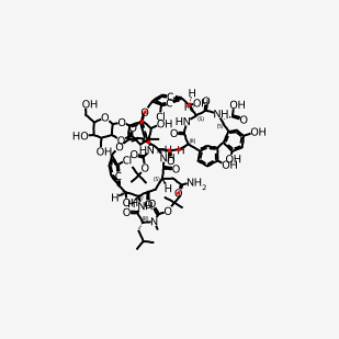 CC(C)C[C@H](C(=O)N[C@H]1C(=O)C[C@@H](CC(N)=O)C(=O)N[C@H]2C(=O)C[C@H]3C(=O)N[C@H](C(=O)N[C@H](C(=O)O)c4cc(O)cc(O)c4-c4cc3ccc4O)[C@H](O)c3ccc(c(Cl)c3)Oc3cc2cc(c3OC2OC(CO)C(O)C(O)C2OC2CC(C)(NC(=O)OC(C)(C)C)C(O)C(C)O2)Oc2ccc(cc2Cl)[C@H]1O)N(C)C(=O)OC(C)(C)C